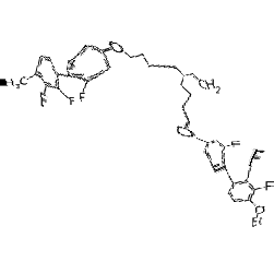 C=CC(CCCCOc1ccc(-c2ccc(C)c(F)c2F)c(F)c1)CCCCOc1ccc(-c2ccc(OCC)c(F)c2F)c(F)c1